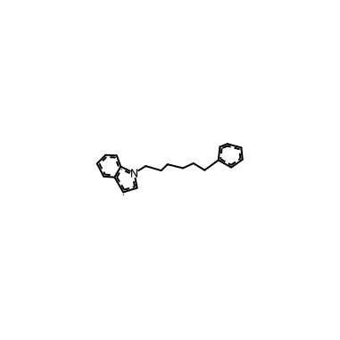 [c]1cn(CCCCCCc2ccccc2)c2ccccc12